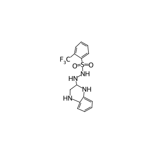 O=S(=O)(NNC1CNc2ccccc2N1)c1ccccc1C(F)(F)F